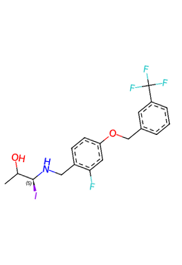 CC(O)[C@H](I)NCc1ccc(OCc2cccc(C(F)(F)F)c2)cc1F